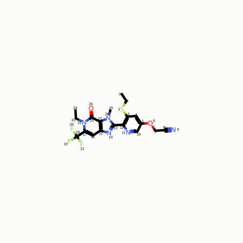 CCSc1cc(OCC#N)cnc1-c1nc2cc(C(F)(F)F)n(CC)c(=O)c2n1C